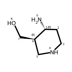 N[C@@H]1CCNC[C@H]1CO